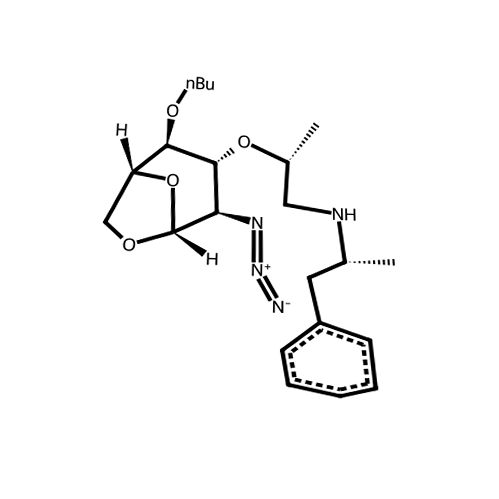 CCCCO[C@H]1[C@H](O[C@H](C)CN[C@H](C)Cc2ccccc2)[C@@H](N=[N+]=[N-])[C@@H]2OC[C@H]1O2